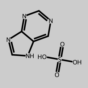 O=S(=O)(O)O.c1ncc2[nH]cnc2n1